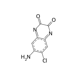 Nc1cc2c(cc1Cl)=NC(=O)C(=O)N=2